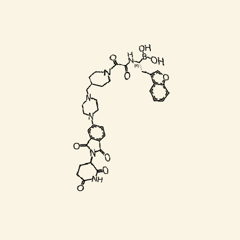 O=C1CCC(N2C(=O)c3ccc(N4CCN(CC5CCN(C(=O)C(=O)N[C@@H](Cc6coc7ccccc67)B(O)O)CC5)CC4)cc3C2=O)C(=O)N1